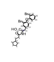 O=C(CCC1CCCC1)N/C(=C/c1ccc(Oc2ccccc2Br)c(Br)c1)C(=O)O